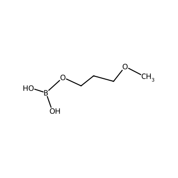 COCCCOB(O)O